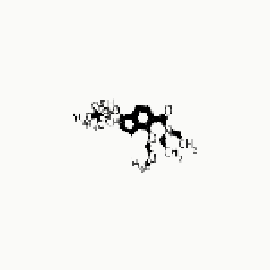 CCN(CC)C(=O)c1ccc2c(c1OCOC)CCC2O[Si](C)(C)C(C)(C)C